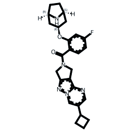 O=C(c1ccc(F)cc1O[C@H]1C[C@H]2CC[C@@H](C1)N2)N1Cc2nn3cc(C4CCC4)cnc3c2C1